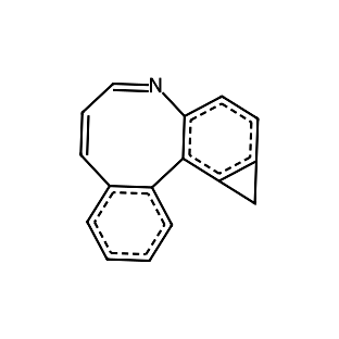 C1=Cc2ccccc2-c2c(ccc3c2C3)N=C1